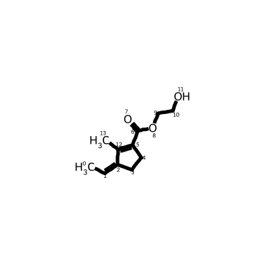 C/C=C1/CCC(C(=O)OCCO)=C1C